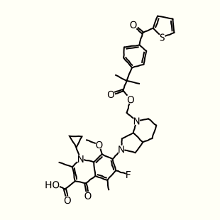 COc1c(N2CC3CCCN(COC(=O)C(C)(C)c4ccc(C(=O)c5cccs5)cc4)C3C2)c(F)c(C)c2c(=O)c(C(=O)O)c(C)n(C3CC3)c12